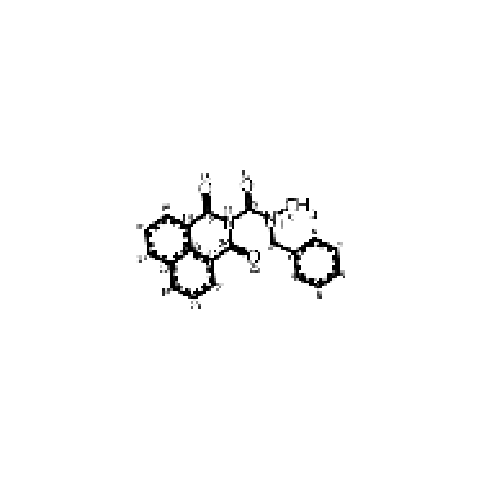 CN(Cc1ccccc1)C(=O)N1C(=O)c2cccc3cccc(c23)C1=O